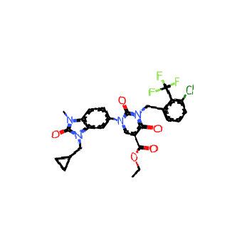 CCOC(=O)c1cn(-c2ccc3c(c2)n(CC2CC2)c(=O)n3C)c(=O)n(Cc2cccc(Cl)c2C(F)(F)F)c1=O